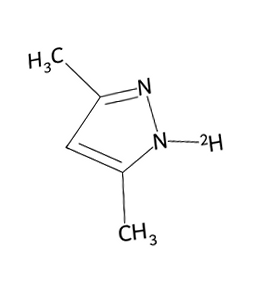 [2H]n1nc(C)cc1C